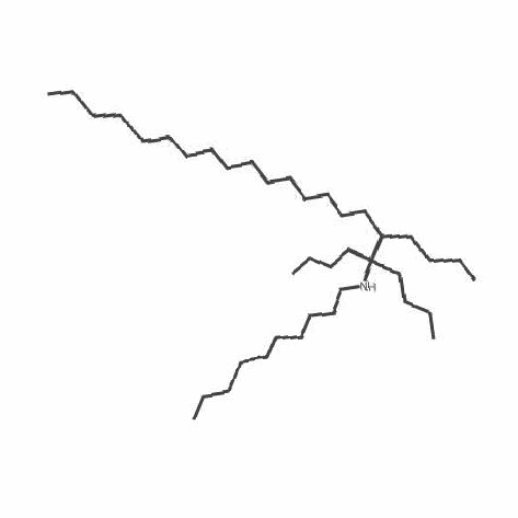 CCCCCCCCCCCCCCCCC(CCCC)C(CCCC)(CCCC)NCCCCCCCCCC